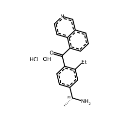 CCc1cc([C@@H](C)N)ccc1C(=O)c1cccc2cnccc12.Cl.Cl